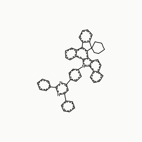 c1ccc(-c2cc(-c3ccc(-n4c5c6ccccc6ccc5c5c6c(c7ccccc7c54)-c4ccccc4C64CCCCC4)cc3)nc(-c3ccccc3)n2)cc1